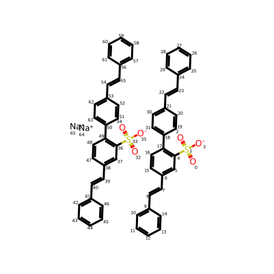 O=S(=O)([O-])c1cc(C=Cc2ccccc2)ccc1-c1ccc(C=Cc2ccccc2)cc1.O=S(=O)([O-])c1cc(C=Cc2ccccc2)ccc1-c1ccc(C=Cc2ccccc2)cc1.[Na+].[Na+]